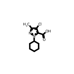 Cc1nn(C2CCCCC2)c(C(=O)O)c1Cl